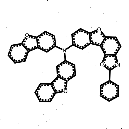 c1ccc(-c2nc3ccc4oc5ccc(N(c6ccc7oc8ccccc8c7c6)c6ccc7oc8ccccc8c7c6)cc5c4c3o2)cc1